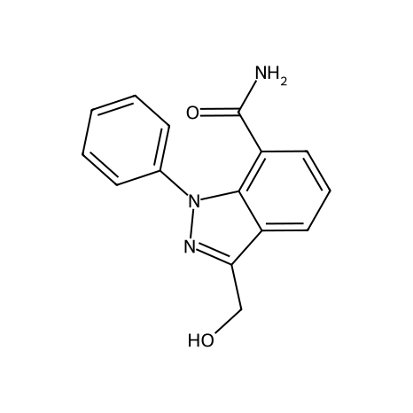 NC(=O)c1cccc2c(CO)nn(-c3ccccc3)c12